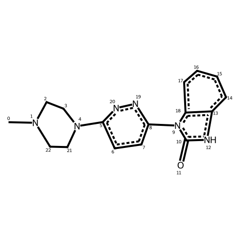 CN1CCN(c2ccc(-n3c(=O)[nH]c4ccccc43)nn2)CC1